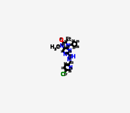 CCC1C(=O)N(C)c2cnc(N/N=C/c3ccc(Cl)cn3)nc2N1C1CCCC1